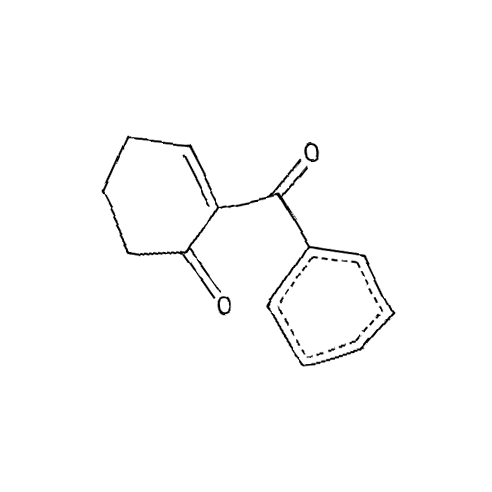 O=C1CCCC=C1C(=O)c1ccccc1